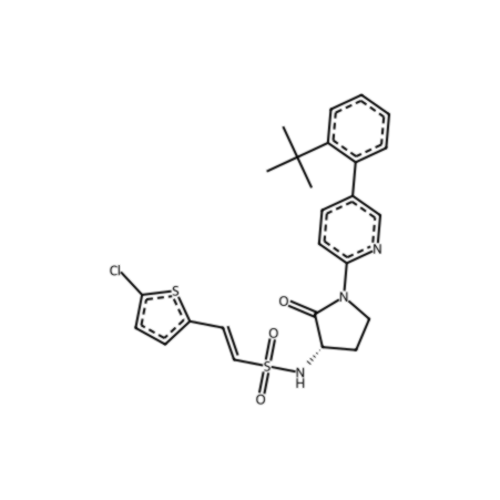 CC(C)(C)c1ccccc1-c1ccc(N2CC[C@H](NS(=O)(=O)C=Cc3ccc(Cl)s3)C2=O)nc1